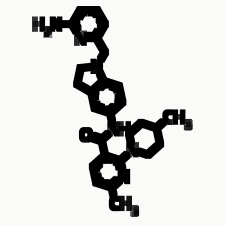 Cc1ccc(C(=O)Nc2ccc3c(c2)CCN3Cc2cccc(N)n2)c(N2CCC(C)CC2)n1